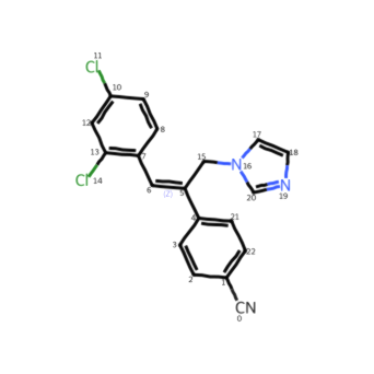 N#Cc1ccc(/C(=C/c2ccc(Cl)cc2Cl)Cn2ccnc2)cc1